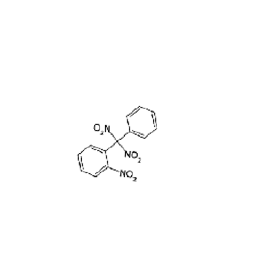 O=[N+]([O-])c1ccccc1C(c1ccccc1)([N+](=O)[O-])[N+](=O)[O-]